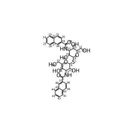 O=C(NC1C(O)[C@H](S[C@@H]2OC(CO)[C@H](O)C(NC(=O)c3ccc4ccccc4c3)C2O)OC(CO)[C@@H]1O)c1ccc2ccccc2c1